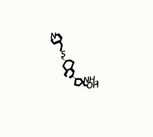 C=C(/C=C1/CC[C@@H](CSCCc2ccncc2)C/C1=C/C)[C@H]1CC[C@](N)(CO)C1